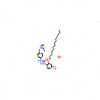 CCCCCCCCCCCCCCOc1cc(OC)ccc1NC(=O)Nc1ccc(C[n+]2ccsc2C)cc1.[Br-]